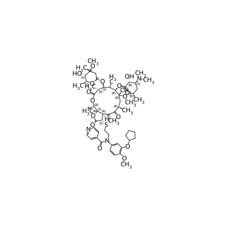 COc1ccc(N(CCS[C@@H]2C(=O)O[C@@]3(C)[C@H]2[C@@H](C)C(=O)[C@H](C)C[C@@](C)(OC)[C@H](O[C@@H]2O[C@H](C)C[C@H](N(C)C)[C@H]2O)C(C)[C@H](O[C@H]2C[C@@](C)(OC)[C@@H](O)[C@H](C)O2)[C@@H](C)C(=O)O[C@@H]3I)C(=O)c2ccncc2)cc1OC1CCCC1